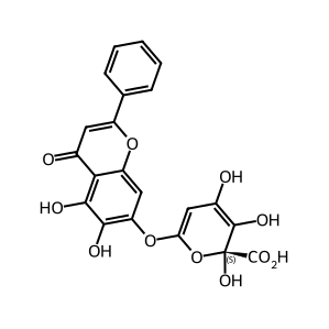 O=C(O)[C@@]1(O)OC(Oc2cc3oc(-c4ccccc4)cc(=O)c3c(O)c2O)=CC(O)=C1O